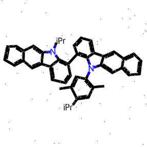 Cc1cc(-n2c3cc4ccccc4cc3c3cccc(-c4cccc5c6cc7ccccc7cc6n(C(C)C)c45)c32)c(C)cc1C(C)C